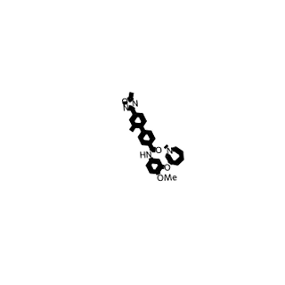 COc1ccc(NC(=O)c2ccc(-c3ccc(-c4noc(C)n4)cc3C)cc2)cc1OC1=CN(C)C=CC=C1